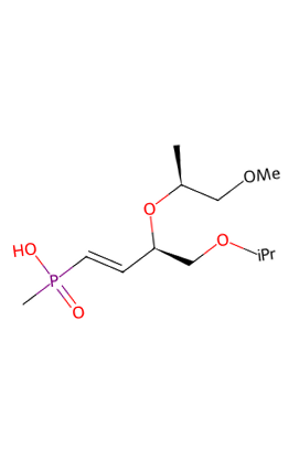 COC[C@H](C)O[C@H](/C=C/P(C)(=O)O)COC(C)C